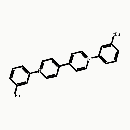 CC(C)(C)c1cccc(-[n+]2ccc(-c3cc[n+](-c4cccc(C(C)(C)C)c4)cc3)cc2)c1